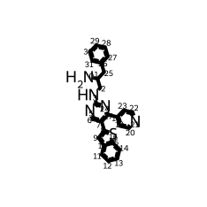 NC(CNc1ncc(-c2cc3ccccc3s2)c(-c2ccncc2)n1)Cc1ccccc1